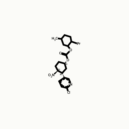 CC1CCC(C(C)C)C(OC(=O)O[C@H]2CC[C@H]([N+](=O)[O-])[C@@H](c3ccc(Cl)nc3)C2)C1